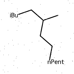 [CH2]CC(C)CC(C)CCCCCCC